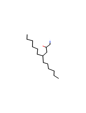 CCCCCCC(CCCCCC)CC(O)CN